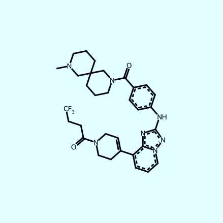 CN1CCCC2(CCCN(C(=O)c3ccc(Nc4nc5c(C6=CCN(C(=O)CCC(F)(F)F)CC6)cccn5n4)cc3)C2)C1